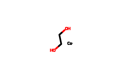 OCCO.[Co]